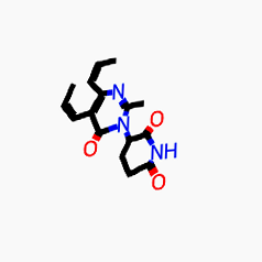 C/C=C\c1nc(C)n(C2CCC(=O)NC2=O)c(=O)c1/C=C\C